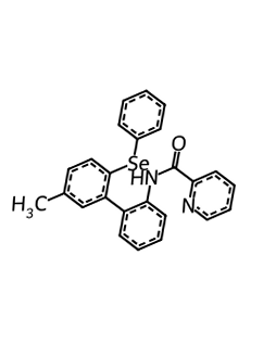 Cc1ccc([Se]c2ccccc2)c(-c2ccccc2NC(=O)c2ccccn2)c1